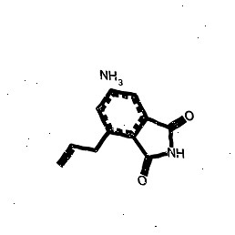 C=CCc1cccc2c1C(=O)NC2=O.N